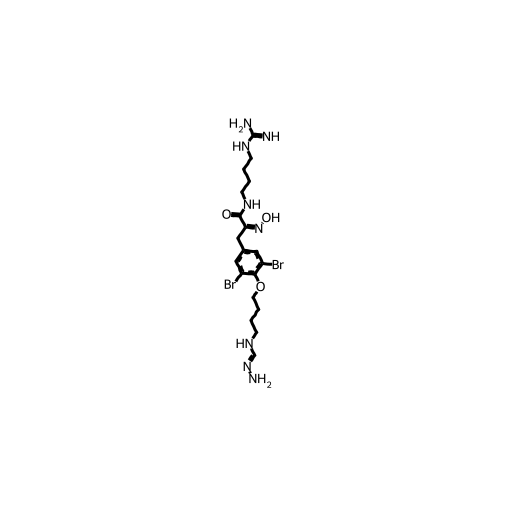 N=C(N)NCCCCNC(=O)C(Cc1cc(Br)c(OCCCCNC=NN)c(Br)c1)=NO